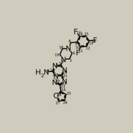 Nc1nc(N2CCN(Cc3c(F)cc(F)cc3F)CC2)nc2nc(-c3ccco3)nn12